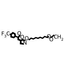 C=CC(=O)OCCCCCCCCCOc1nccc2cc(-c3ccc(C(F)(F)F)cc3)c(=O)oc12